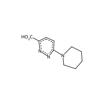 O=C(O)c1ccc(N2CCCCC2)nn1